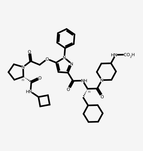 O=C(O)NC1CCN(C(=O)[C@H](CC2CCCCC2)NC(=O)c2cc(OCC(=O)N3CCC[C@H]3C(=O)NC3CCC3)n(-c3ccccc3)n2)CC1